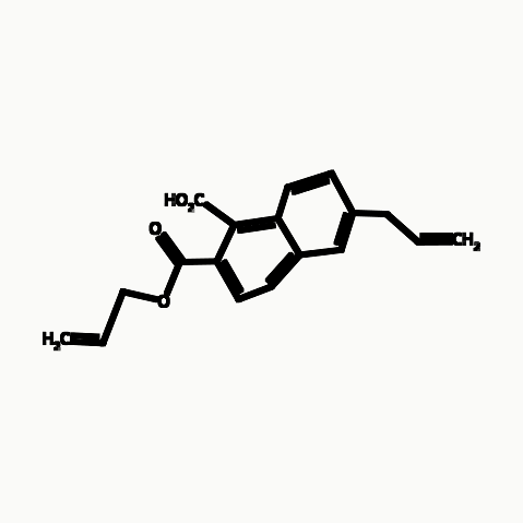 C=CCOC(=O)c1ccc2cc(CC=C)ccc2c1C(=O)O